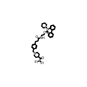 CCN(CC)C(=O)C1CCN(Cc2ccc(CCC(=O)NCCOC(=O)N(c3ccccc3-c3ccccc3)N3CC[CH]CC3)cc2)CC1